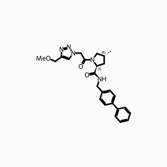 COCc1cn(CC(=O)N2C[C@H](C)C[C@H]2C(=O)NCc2ccc(-c3ccccc3)cc2)nn1